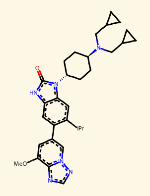 COc1cc(-c2cc3[nH]c(=O)n([C@H]4CC[C@H](N(CC5CC5)CC5CC5)CC4)c3cc2C(C)C)cn2ncnc12